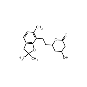 Cc1ccc2c(c1CCC1CC(O)CC(=O)O1)OC(C)(C)C2